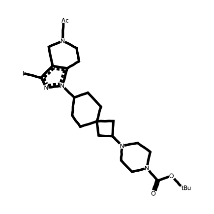 CC(=O)N1CCc2c(c(I)nn2C2CCC3(CC2)CC(N2CCN(C(=O)OC(C)(C)C)CC2)C3)C1